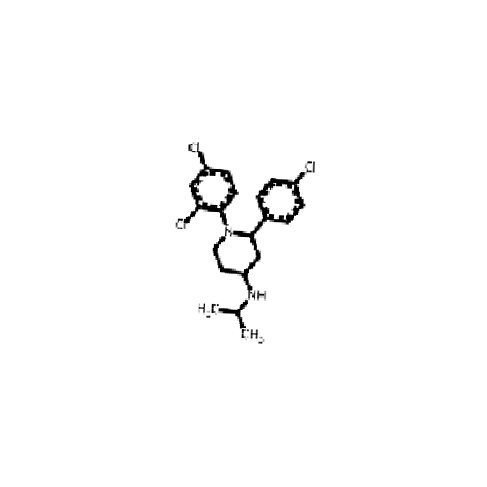 CC(C)NC1CCN(c2ccc(Cl)cc2Cl)C(c2ccc(Cl)cc2)C1